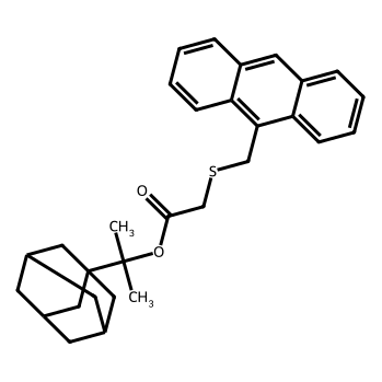 CC(C)(OC(=O)CSCc1c2ccccc2cc2ccccc12)C12CC3CC(CC(C3)C1)C2